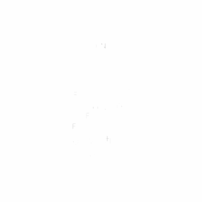 N#Cc1c(F)c(F)c(S(=O)(=O)C(F)(F)C(F)(F)S(=O)(=O)Cl)c(F)c1F